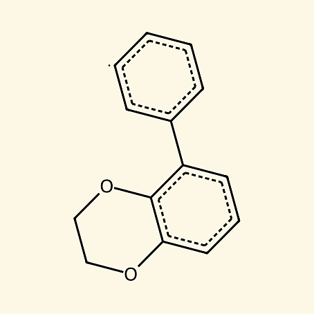 [c]1cccc(-c2cccc3c2OCCO3)c1